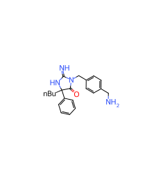 CCCCC1(c2ccccc2)NC(=N)N(Cc2ccc(CN)cc2)C1=O